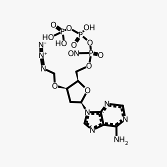 [N-]=[N+]=NCO[C@@H]1C[C@H](n2cnc3c(N)ncnc32)O[C@@H]1COP(=O)(N=O)OP(=O)(O)OP(=O)(O)O